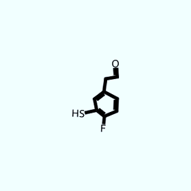 O=CCc1ccc(F)c(S)c1